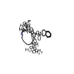 CC(C)(C)OC(=O)N[C@H]1CCCCC/C=C/[C@@H]2C[C@@]2(C(=O)NS(=O)(=O)C2CC2)NC(=O)[C@@H]2C[C@@H](OC(=O)N3CCc4ccccc4C3)CN2C1=O